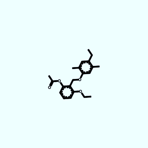 CCOc1cccc(OC(C)=O)c1COc1cc(C)c(CC)cc1C